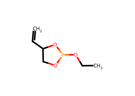 C=CC1COP(OCC)O1